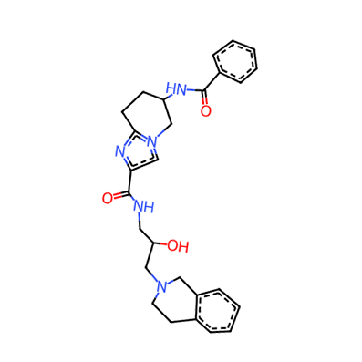 O=C(NC1CCc2nc(C(=O)NCC(O)CN3CCc4ccccc4C3)cn2C1)c1ccccc1